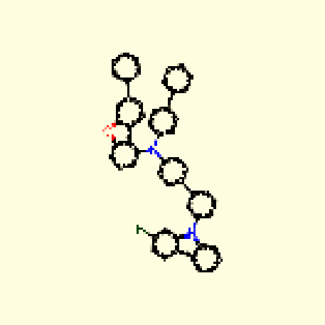 Fc1ccc2c3ccccc3n(-c3cccc(-c4ccc(N(c5ccc(-c6ccccc6)cc5)c5cccc6oc7cc(-c8ccccc8)ccc7c56)cc4)c3)c2c1